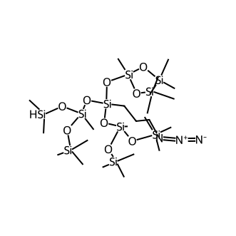 C[SiH](C)O[Si](C)(O[Si](C)(C)C)O[Si](CCCN=[N+]=[N-])(O[Si](C)(O[Si](C)(C)C)O[Si](C)(C)C)O[Si](C)(O[Si](C)(C)C)O[Si](C)(C)C